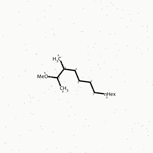 CCCCCCCCCCC(C)C(C)OC